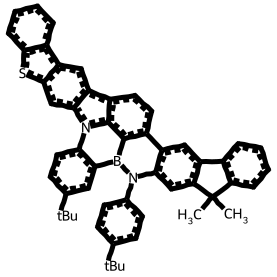 CC(C)(C)c1ccc(N2B3c4cc(C(C)(C)C)ccc4-n4c5cc6sc7ccccc7c6cc5c5ccc(c3c54)-c3cc4c(cc32)C(C)(C)c2ccccc2-4)cc1